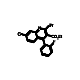 CCOC(=O)c1c(C(C)C)nc2cc(Cl)ccc2c1-c1ccccc1F